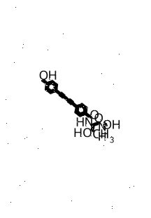 C[C@@H](O)[C@H](NC(=O)c1ccc(C#CC#Cc2ccc(CO)cc2)cc1)C(=O)NO